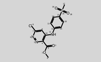 COC(=O)c1nnc(Cl)cc1Nc1ccc(S(C)(=O)=O)cc1